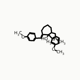 COc1ccc(C=C2CCCCC(CN(C)C)C2(O)c2cccc(OC)c2)cc1